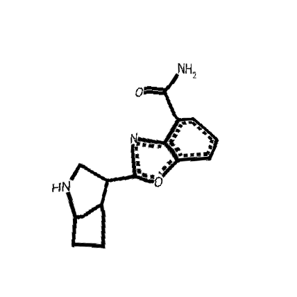 NC(=O)c1cccc2oc(C3CNC4CCC43)nc12